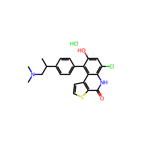 CC(CN(C)C)c1ccc(-c2c(O)cc(Cl)c3[nH]c(=O)c4sccc4c23)cc1.Cl